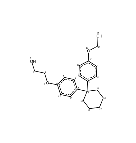 OCCOc1ccc(C2(c3ccc(OCO)cc3)CCCCC2)cc1